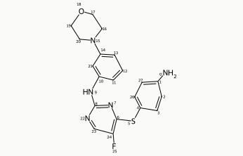 Nc1ccc(Sc2nc(Nc3cccc(N4CCOCC4)c3)ncc2F)cc1